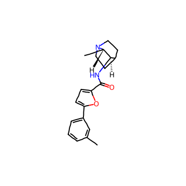 Cc1cccc(-c2ccc(C(=O)N[C@@H]3C4CCN(CC4)[C@H]3C)o2)c1